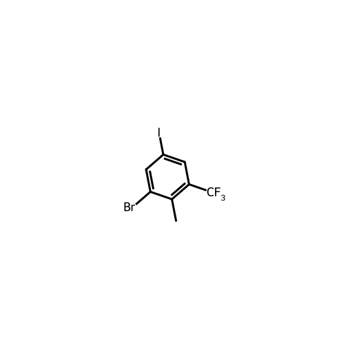 Cc1c(Br)cc(I)cc1C(F)(F)F